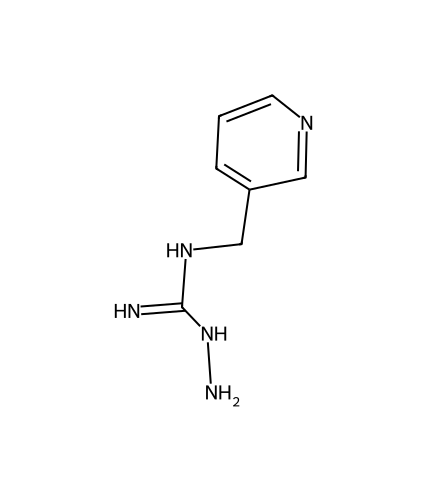 N=C(NN)NCc1cccnc1